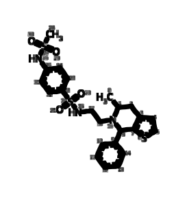 CC1Cc2ccsc2C(c2ccccc2)N1CCNS(=O)(=O)c1ccc(NS(C)(=O)=O)cc1